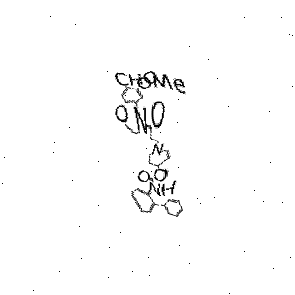 COc1cc2c(cc1C=O)OCCN2C(=O)CCN1CCC(OC(=O)Nc2ccccc2-c2ccccc2)CC1